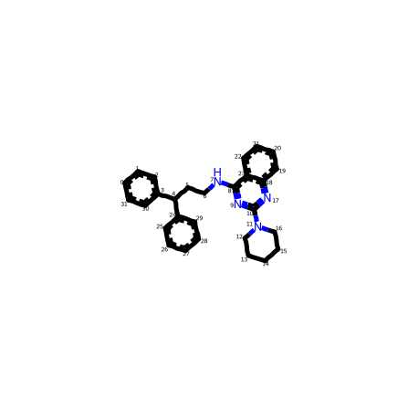 c1ccc(C(CCNc2nc(N3CCCCC3)nc3ccccc23)c2ccccc2)cc1